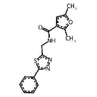 Cc1cc(C(=O)NCc2nnc(-c3ccccc3)s2)c(C)o1